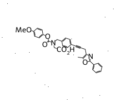 COc1ccc(OC(=O)N(CC(=O)O)Cc2ccc(C#CCc3nc(-c4ccccc4)oc3C)cc2)cc1